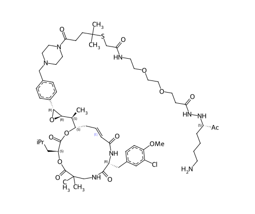 COc1ccc(C[C@H]2NC(=O)/C=C/C[C@@H]([C@H](C)[C@H]3O[C@@H]3c3ccc(CN4CCN(C(=O)CCC(C)(C)SCC(=O)NCCOCCOCCC(=O)NN[C@@H](CCCCN)C(C)=O)CC4)cc3)OC(=O)[C@H](CC(C)C)OC(=O)C(C)(C)CNC2=O)cc1Cl